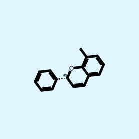 Cc1cccc2c1O[C@@H](c1ccccc1)C=C2